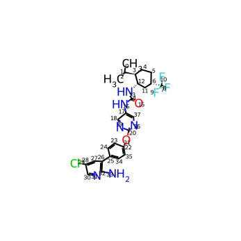 CC(C)[C@H]1CC[C@H](C(F)(F)F)C[C@@H]1NC(=O)Nc1cnc(Oc2ccc(-c3cc(Cl)cnc3N)cc2)nc1